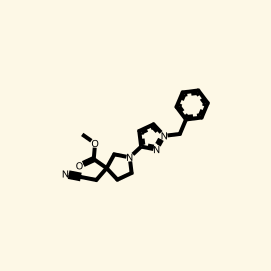 COC(=O)C1(CC#N)CCN(c2ccn(Cc3ccccc3)n2)C1